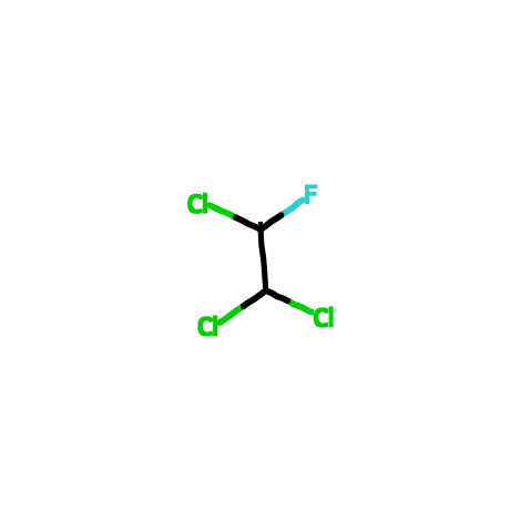 F[C](Cl)C(Cl)Cl